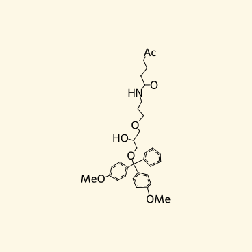 COc1ccc(C(OCC(O)COCCCNC(=O)CCCC(C)=O)(c2ccccc2)c2ccc(OC)cc2)cc1